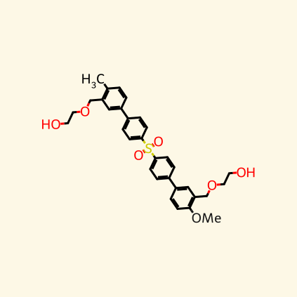 COc1ccc(-c2ccc(S(=O)(=O)c3ccc(-c4ccc(C)c(COCCO)c4)cc3)cc2)cc1COCCO